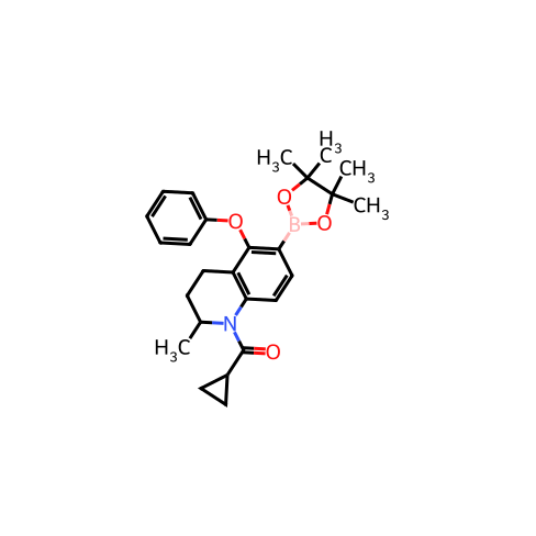 CC1CCc2c(ccc(B3OC(C)(C)C(C)(C)O3)c2Oc2ccccc2)N1C(=O)C1CC1